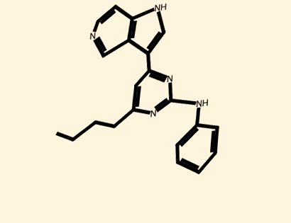 CCCCc1cc(-c2c[nH]c3ccncc23)nc(Nc2ccccc2)n1